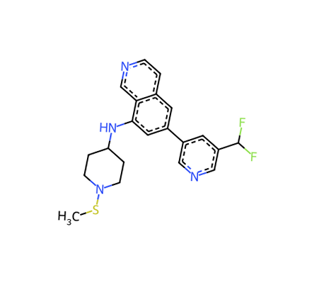 CSN1CCC(Nc2cc(-c3cncc(C(F)F)c3)cc3ccncc23)CC1